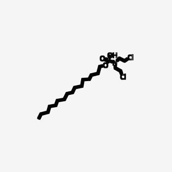 CCCCCCCCCCCCCCCCOP(=O)(O)N(CCCl)CCCl